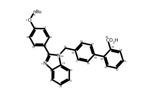 CCCCOc1ccc(-c2nc3ccccc3n2Cc2ccc(-c3ccccc3C(=O)O)cc2)cc1